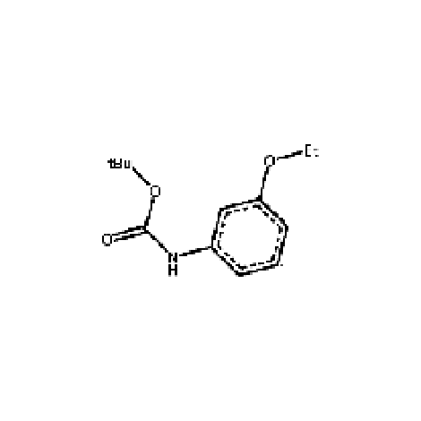 CCOc1c[c]cc(NC(=O)OC(C)(C)C)c1